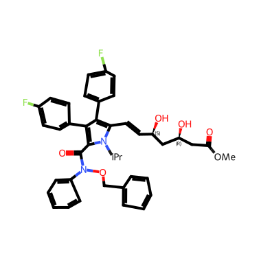 COC(=O)C[C@H](O)C[C@H](O)C=Cc1c(-c2ccc(F)cc2)c(-c2ccc(F)cc2)c(C(=O)N(OCc2ccccc2)c2ccccc2)n1C(C)C